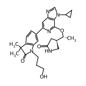 C[C@@H](Oc1nc(-c2ccc3c(c2)N(CCCO)C(=O)C3(C)C)cc2ncn(C3CC3)c12)[C@H]1CNC(=O)C1